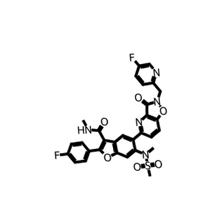 CNC(=O)c1c(-c2ccc(F)cc2)oc2cc(N(C)S(C)(=O)=O)c(-c3ccc4on(Cc5ccc(F)cn5)c(=O)c4n3)cc12